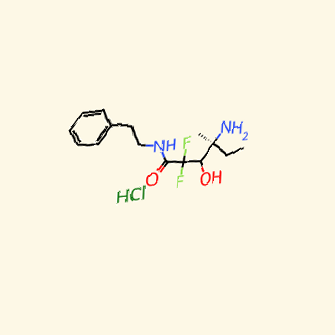 CC[C@](C)(N)C(O)C(F)(F)C(=O)NCCc1ccccc1.Cl